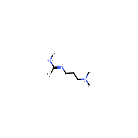 CCN/C(N=O)=N/CCCN(C)C